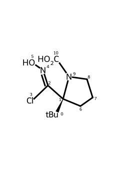 CC(C)(C)[C@]1(C(Cl)=NO)CCCN1C(=O)O